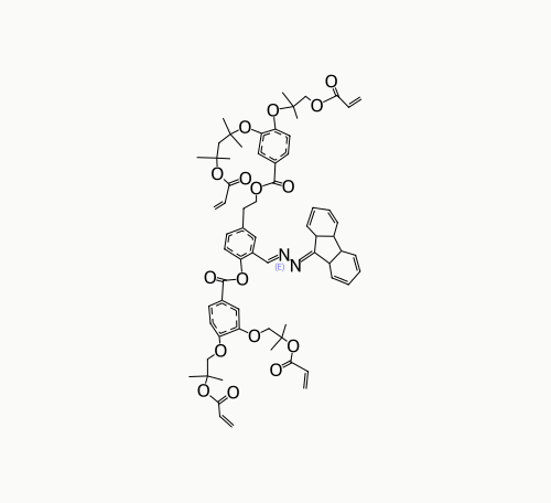 C=CC(=O)OCC(C)(C)Oc1ccc(C(=O)OCCc2ccc(OC(=O)c3ccc(OCC(C)(C)OC(=O)C=C)c(OCC(C)(C)OC(=O)C=C)c3)c(/C=N/N=C3C4C=CC=CC4C4C=CC=CC34)c2)cc1OC(C)(C)CC(C)(C)OC(=O)C=C